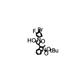 Cc1c(C2CC(O)N(c3ccc(Br)c(F)c3)C2=O)c2ccccc2n1C(=O)OC(C)(C)C